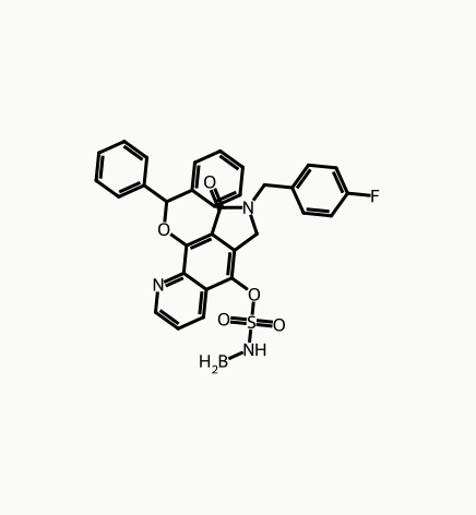 BNS(=O)(=O)Oc1c2c(c(OC(c3ccccc3)c3ccccc3)c3ncccc13)C(=O)N(Cc1ccc(F)cc1)C2